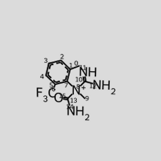 Cc1cccc(C(F)(F)F)c1[N+](C)(C(=N)N)C(N)=O